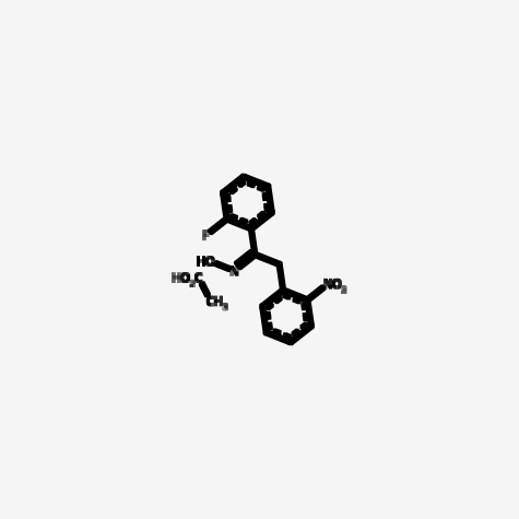 CC(=O)O.O=[N+]([O-])c1ccccc1CC(=NO)c1ccccc1F